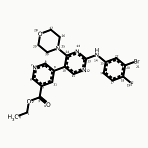 CCOC(=O)c1cncc(-c2cnc(Nc3ccc(F)c(Br)c3)nc2N2CCOCC2)c1